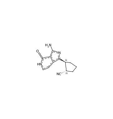 N#C[C@H]1CCC[C@@H]1n1nc(N)c2c(=O)[nH]ccc21